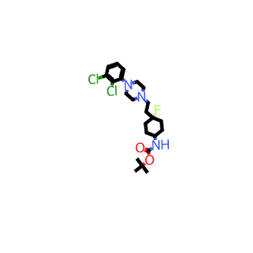 CC(C)(C)OC(=O)NC1CCC(F)(CCN2CCN(c3cccc(Cl)c3Cl)CC2)CC1